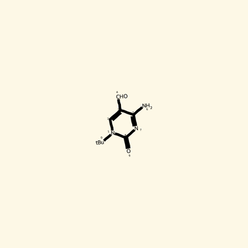 CC(C)(C)n1cc(C=O)c(N)nc1=O